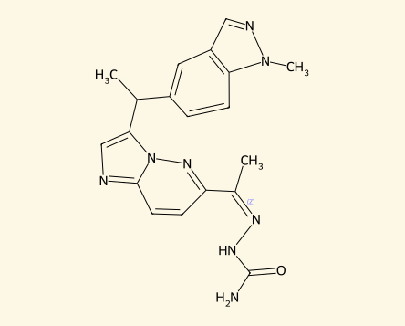 C/C(=N/NC(N)=O)c1ccc2ncc(C(C)c3ccc4c(cnn4C)c3)n2n1